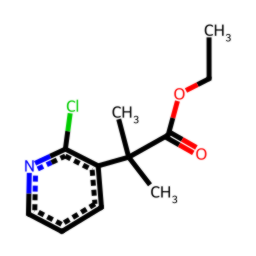 CCOC(=O)C(C)(C)c1cccnc1Cl